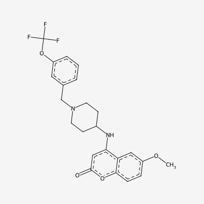 COc1ccc2oc(=O)cc(NC3CCN(Cc4cccc(OC(F)(F)F)c4)CC3)c2c1